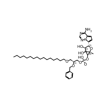 CCCCCCCCCCCCCCCCOC[C@@H](COP(=O)(O)OC1[C@@]2(C)O[C@@H](c3ccc4c(N)ncnn34)[C@H](O)[C@@]12O)OCc1ccccc1